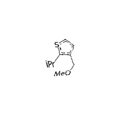 COCc1ccsc1C(C)C